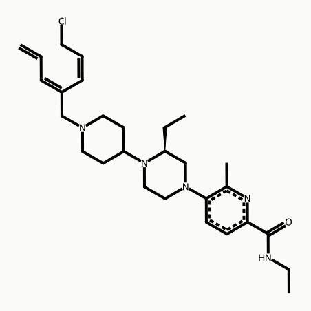 C=C/C=C(\C=C/CCl)CN1CCC(N2CCN(c3ccc(C(=O)NCC)nc3C)C[C@@H]2CC)CC1